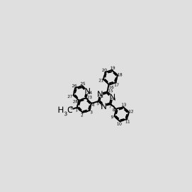 Cc1ccc(-c2nc(-c3ccccc3)nc(-c3ccccc3)n2)c2ncccc12